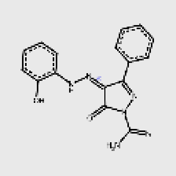 NC(=S)N1N=C(c2ccccc2)/C(=N/Nc2ccccc2O)C1=O